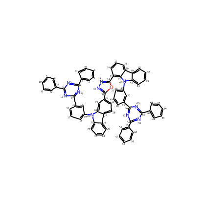 c1ccc(-c2nc(-c3ccccc3)nc(-c3cccc(-n4c5ccccc5c5ccc(-c6nnc(-c7cccc8c9ccccc9n(-c9cccc(-c%10nc(-c%11ccccc%11)nc(-c%11ccccc%11)n%10)c9)c78)o6)cc54)c3)n2)cc1